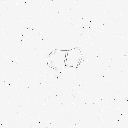 [O-][n+]1cncc2sccc21